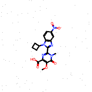 COc1c(C(=O)O)nc(-c2nc3cc([N+](=O)[O-])ccc3n2C2CCC2)n(C)c1=O